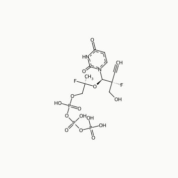 C#C[C@@](F)(CO)[C@@H](O[C@](C)(F)COP(=O)(O)OP(=O)(O)OP(=O)(O)O)n1ccc(=O)[nH]c1=O